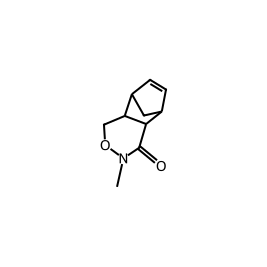 CN1OCC2C3C=CC(C3)C2C1=O